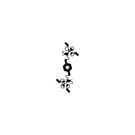 CCOP(=O)(OCC)C(=S)SCc1ccc(CSC(=S)P(=O)(OCC)OCC)cc1